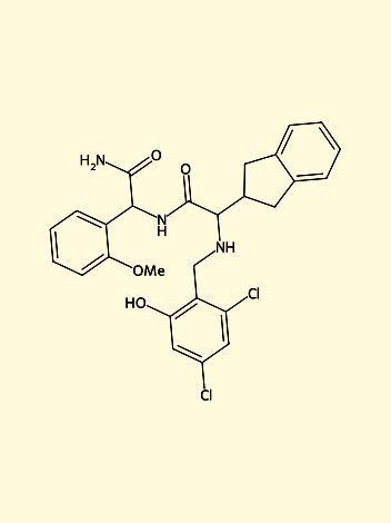 COc1ccccc1C(NC(=O)C(NCc1c(O)cc(Cl)cc1Cl)C1Cc2ccccc2C1)C(N)=O